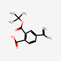 C=C(C)c1ccc(C(=O)O)c(C(=O)OC(C)(C)C)c1